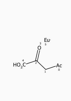 CC(=O)CC(=O)C(=O)O.[Eu]